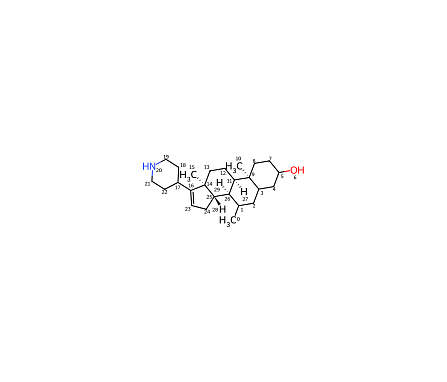 CC1CC2CC(O)CC[C@]2(C)[C@@H]2CC[C@]3(C)C(C4CCNCC4)=CC[C@H]3[C@H]12